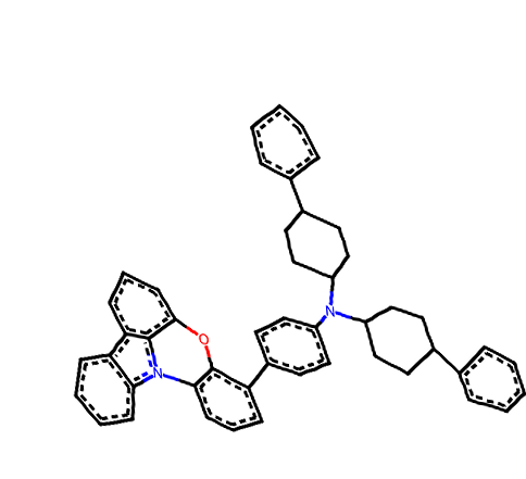 c1ccc(C2CCC(N(c3ccc(-c4cccc5c4Oc4cccc6c7ccccc7n-5c46)cc3)C3CCC(c4ccccc4)CC3)CC2)cc1